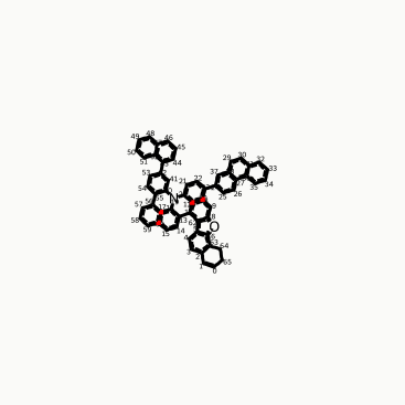 C1=Cc2ccc3c(oc4cccc(-c5ccccc5N(c5ccc(-c6ccc7c(ccc8ccccc87)c6)cc5)c5cc(-c6cccc7ccccc67)ccc5-c5ccccc5)c43)c2CC1